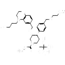 COCCCN1CCOc2ccc(CO[C@H]3CN(C(=O)OC(C)(C)C)[C@@H](CC(C)(C)C(=O)O)C[C@@H]3c3ccc(COCCOC)cc3)cc21